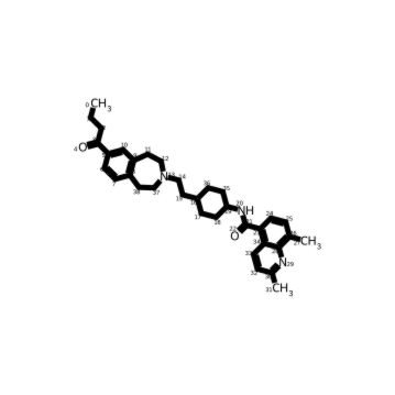 CCCC(=O)c1ccc2c(c1)CCN(CCC1CCC(NC(=O)c3ccc(C)c4nc(C)ccc34)CC1)CC2